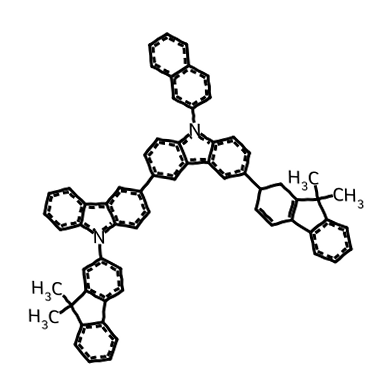 CC1(C)C2=C(C=CC(c3ccc4c(c3)c3cc(-c5ccc6c(c5)c5ccccc5n6-c5ccc6c(c5)C(C)(C)c5ccccc5-6)ccc3n4-c3ccc4ccccc4c3)C2)c2ccccc21